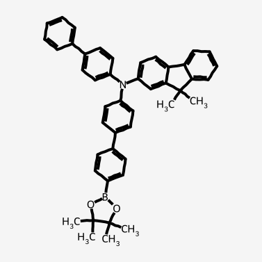 CC1(C)c2ccccc2-c2ccc(N(c3ccc(-c4ccccc4)cc3)c3ccc(-c4ccc(B5OC(C)(C)C(C)(C)O5)cc4)cc3)cc21